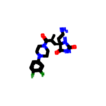 C[C@@H](C[C@@]1(CCN)NC(=O)NC1=O)C(=O)N1CCN(c2ccc(F)c(F)c2)CC1